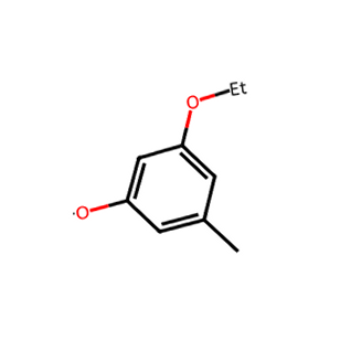 CCOc1cc(C)cc([O])c1